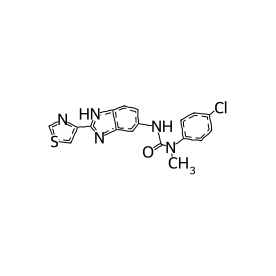 CN(C(=O)Nc1ccc2[nH]c(-c3cscn3)nc2c1)c1ccc(Cl)cc1